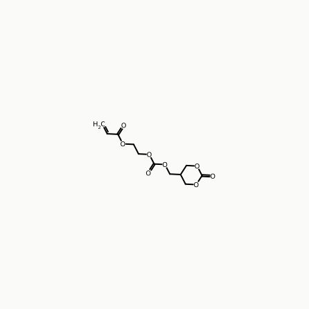 C=CC(=O)OCCOC(=O)OCC1COC(=O)OC1